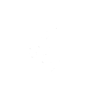 O=C(ON=C(Nc1ccc(F)c(Br)c1)c1nonc1NCc1ccc(CN2CCS(=O)(=O)CC2)cc1)C(F)(F)F